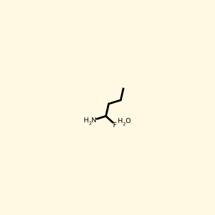 CCCC(N)F.O